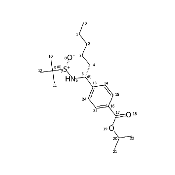 CCCCC[C@@H](N[S@@+]([O-])C(C)(C)C)c1ccc(C(=O)OC(C)C)cc1